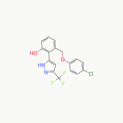 Oc1cccc(COc2ccc(Cl)cc2)c1-c1cc(C(F)(F)F)n[nH]1